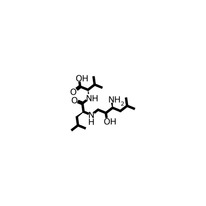 CC(C)C[C@H](NCC(O)[C@@H](N)CC(C)C)C(=O)N[C@H](C(=O)O)C(C)C